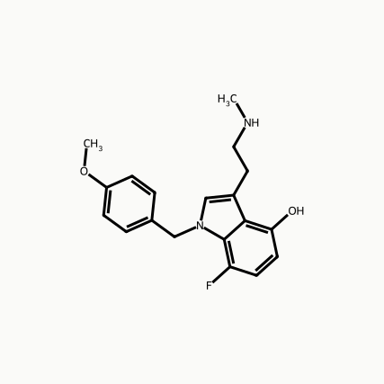 CNCCc1cn(Cc2ccc(OC)cc2)c2c(F)ccc(O)c12